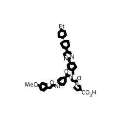 CC[C@H]1CC[C@H](C2CC=C(c3cnc(-c4ccc(CN(CC(=O)N5CC[C@H](C(=O)O)C5)C(=O)c5ccc(NC(=O)Cc6ccc(OC)cc6)cc5)cc4)nc3)CC2)CC1